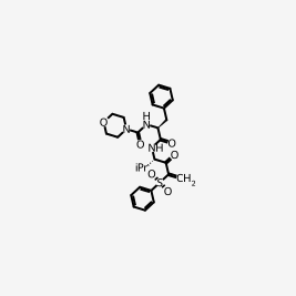 C=C(C(=O)[C@@H](NC(=O)[C@H](Cc1ccccc1)NC(=O)N1CCOCC1)C(C)C)S(=O)(=O)c1ccccc1